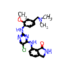 COc1cc(CN(C)C)ccc1Nc1ncc(Cl)c(Nc2cccc3c2C(=O)NC3)n1